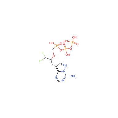 Nc1ncnc2c(CC(OCP(=O)(O)OP(=O)(O)OP(=O)(O)O)C(F)F)cnn12